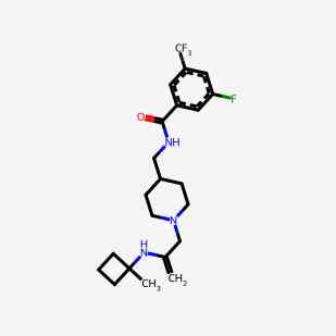 C=C(CN1CCC(CNC(=O)c2cc(F)cc(C(F)(F)F)c2)CC1)NC1(C)CCC1